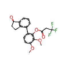 COc1ccc(-c2cccc3c2CCC3=O)c(OC(=O)CC(F)(F)F)c1OC